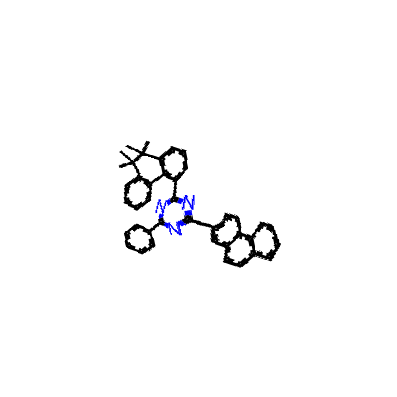 CC1(C)c2ccccc2-c2c(-c3nc(-c4ccccc4)nc(-c4ccc5c(ccc6ccccc65)c4)n3)cccc2C1(C)C